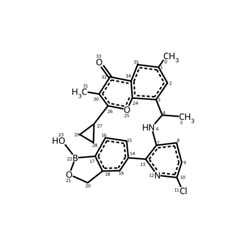 Cc1cc(C(C)Nc2ccc(Cl)nc2-c2ccc3c(c2)COB3O)c2oc(C3CC3)c(C)c(=O)c2c1